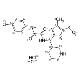 Cc1nc(C(NC(=O)C(=O)Nc2ccc(Cl)cc2)C2CCCNC2)sc1CO.Cl.Cl